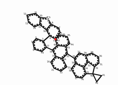 c1ccc(-c2cccc3sc4ccccc4c23)c(-c2c3ccccc3c(-c3cc4cccc5c4c4c(cccc34)C53CC3)c3ccccc23)c1